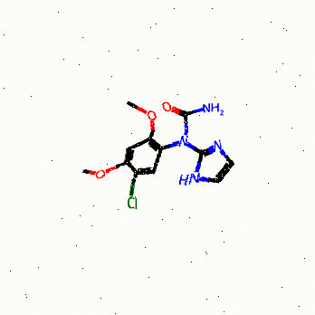 COc1cc(OC)c(N(C(N)=O)c2ncc[nH]2)cc1Cl